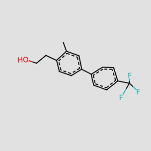 Cc1cc(-c2ccc(C(F)(F)F)cc2)ccc1CCO